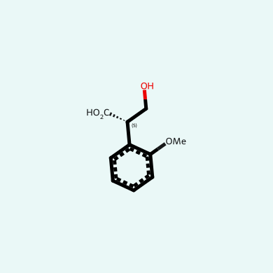 COc1ccccc1[C@@H](CO)C(=O)O